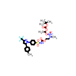 Cc1ccc(-c2cc(C(F)(F)F)nn2-c2ccc(S(=O)(=O)NC(=O)OCCN(C)[NH+]([O-])OC(C)OC(=O)OC(C)(C)C)cc2)cc1